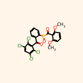 COc1cccc(OC)c1C(=O)[P](=O)c1ccccc1C(=O)c1c(Cl)c(Cl)cc(Cl)c1Cl